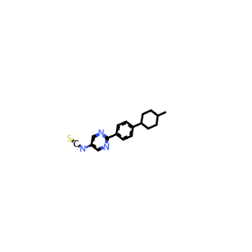 CC1CCC(c2ccc(-c3ncc(N=C=S)cn3)cc2)CC1